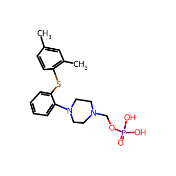 Cc1ccc(Sc2ccccc2N2CCN(COP(=O)(O)O)CC2)c(C)c1